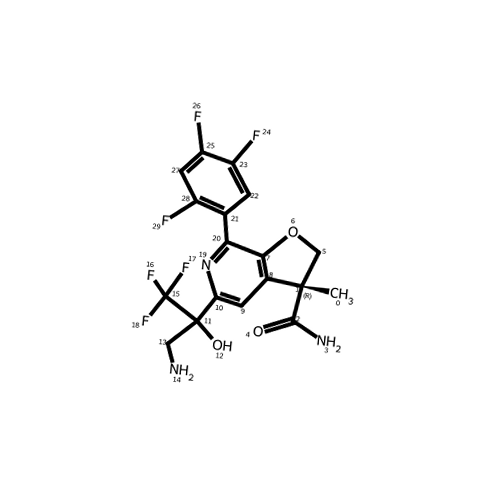 C[C@]1(C(N)=O)COc2c1cc(C(O)(CN)C(F)(F)F)nc2-c1cc(F)c(F)cc1F